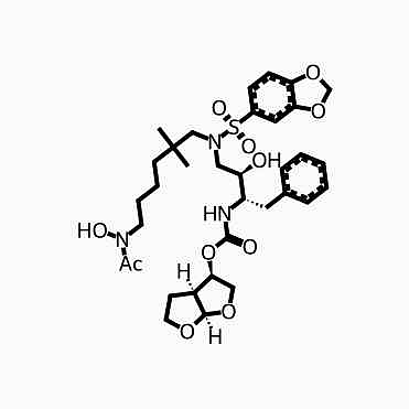 CC(=O)N(O)CCCCC(C)(C)CN(C[C@@H](O)[C@H](Cc1ccccc1)NC(=O)O[C@H]1CO[C@H]2OCC[C@H]21)S(=O)(=O)c1ccc2c(c1)OCO2